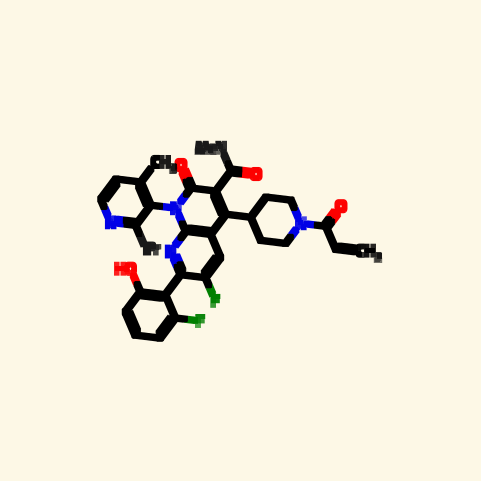 C=CC(=O)N1CCC(c2c(C(=O)NC)c(=O)n(-c3c(C)ccnc3C(C)C)c3nc(-c4c(O)cccc4F)c(F)cc23)CC1